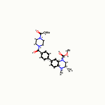 COC(=O)N1CCN(C(=O)c2ccc(-c3ccc4c(c3)N(C(=O)OC(C)C)C[C@H](C)N4C(C)=O)cc2)CC1